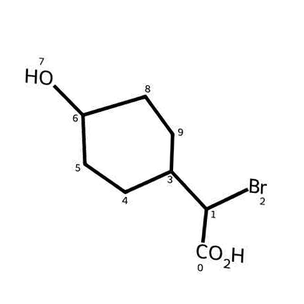 O=C(O)C(Br)C1CCC(O)CC1